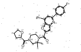 CC(C)c1cc(-c2ccc(F)cc2)nc2cc(C(=O)N3CCN(C(=O)[C@H]4CCCO4)CC3(C)C)oc12